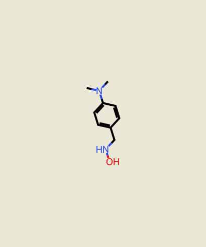 CN(C)c1ccc(CNO)cc1